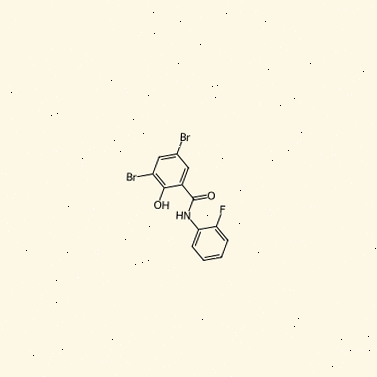 O=C(Nc1ccccc1F)c1cc(Br)cc(Br)c1O